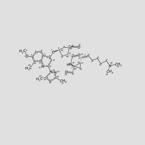 COc1ccc2c(O[C@H]3C[C@@H](C=O)[C@H](C(=O)N[C@]4(C=O)C[C@H]4/C=C\CCCCN(C)C)C3)cc(-n3nc(C)cc3C)nc2c1C